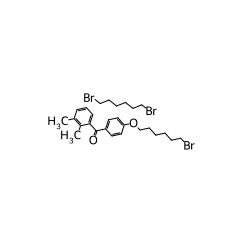 BrCCCCCCBr.Cc1cccc(C(=O)c2ccc(OCCCCCCBr)cc2)c1C